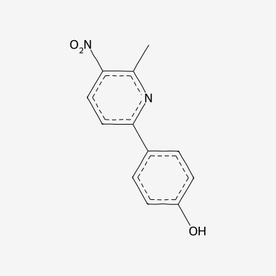 Cc1nc(-c2ccc(O)cc2)ccc1[N+](=O)[O-]